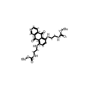 CC(C)(C)OC(=O)NCCNc1ccc(NCCNC(=O)OC(C)(C)C)c2c1C(=O)c1ccncc1C2=O